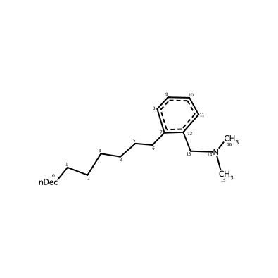 CCCCCCCCCCCCCCCCc1ccccc1CN(C)C